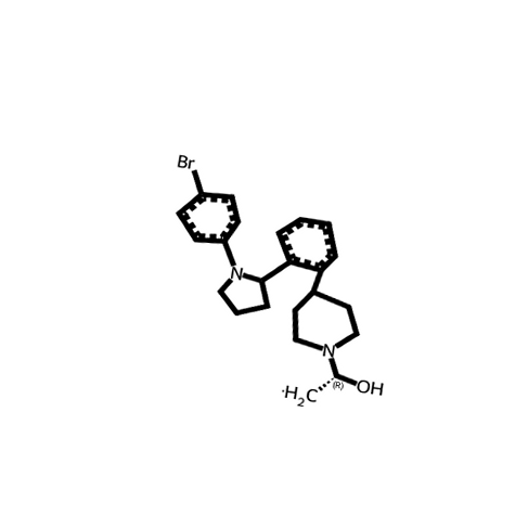 [CH2][C@@H](O)N1CCC(c2ccccc2C2CCCN2c2ccc(Br)cc2)CC1